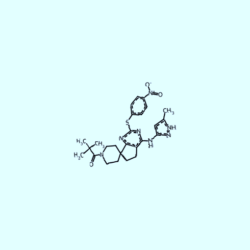 Cc1cc(Nc2nc(Sc3ccc([N+](=O)[O-])cc3)nc3c2CCC32CCN(C(=O)C(C)(C)C)CC2)n[nH]1